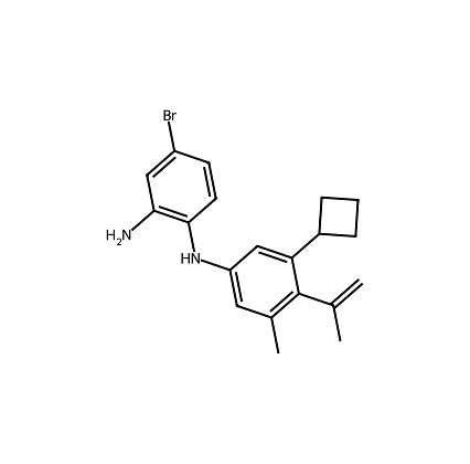 C=C(C)c1c(C)cc(Nc2ccc(Br)cc2N)cc1C1CCC1